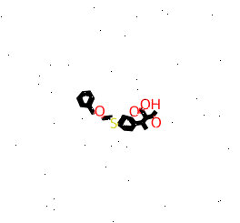 CC(=O)C(C(=O)O)C(C)c1ccc(SCCOCc2ccccc2)cc1